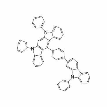 c1ccc(-n2c3ccccc3c3ccc(-c4ccc(-c5c6c7ccccc7n(-c7ccccc7)c6cc6c5c5ccccc5n6-c5ccccc5)cc4)cc32)cc1